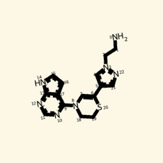 NCCn1cc(C2=CN(c3ncnc4[nH]ccc34)CCS2)cn1